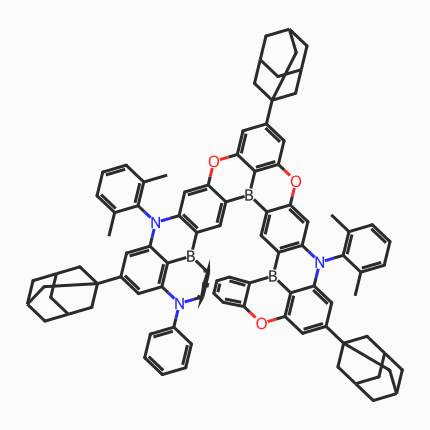 Cc1cccc(C)c1N1c2cc3c(cc2B2c4ccccc4Oc4cc(C56CC7CC(CC(C7)C5)C6)cc1c42)B1c2cc4c(cc2Oc2cc(C56CC7CC(CC(C7)C5)C6)cc(c21)O3)N(c1c(C)cccc1C)c1cc(C23CC5CC(CC(C5)C2)C3)cc2c1B4c1ccccc1N2c1ccccc1